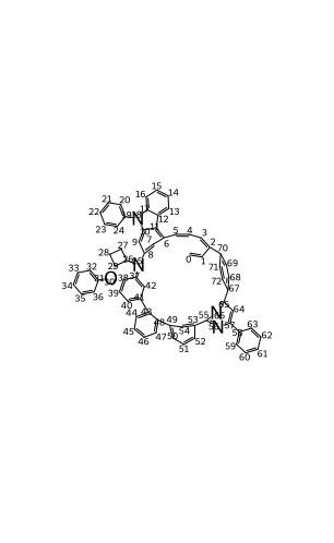 C=C/C1=C\C=C/c2cc(cc3c2c2ccccc2n3-c2ccccc2)N(C2CC[C@H]2Oc2ccccc2)c2cccc(c2)-c2ccccc2-c2cccc(c2)-c2nc(-c3ccccc3)cc(n2)-c2ccc1cc2